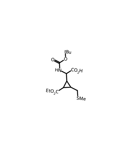 CCOC(=O)C1C(CSC)C1C(NC(=O)OC(C)(C)C)C(=O)O